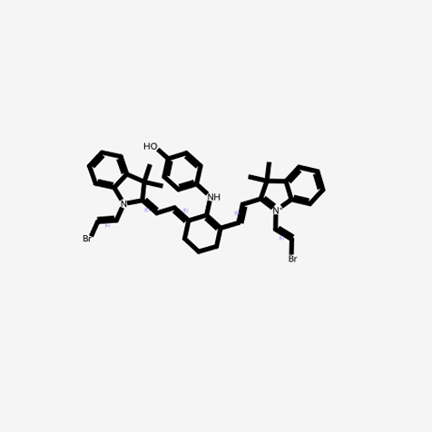 CC1(C)C(/C=C/C2=C(Nc3ccc(O)cc3)C(=C/C=C3/N(/C=C/Br)c4ccccc4C3(C)C)/CCC2)=[N+](/C=C/Br)c2ccccc21